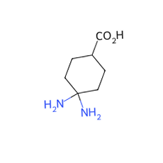 NC1(N)CCC(C(=O)O)CC1